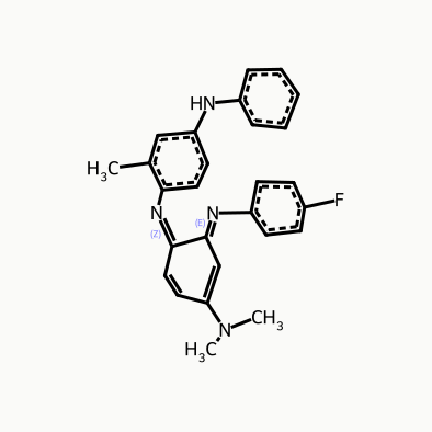 Cc1cc(Nc2ccccc2)ccc1/N=C1/C=CC(N(C)C)=C/C1=N\c1ccc(F)cc1